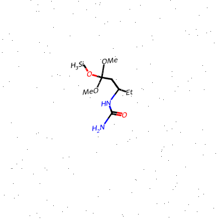 CCC(CC(OC)(OC)O[SiH3])NC(N)=O